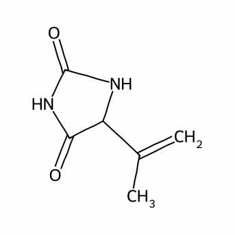 C=C(C)C1NC(=O)NC1=O